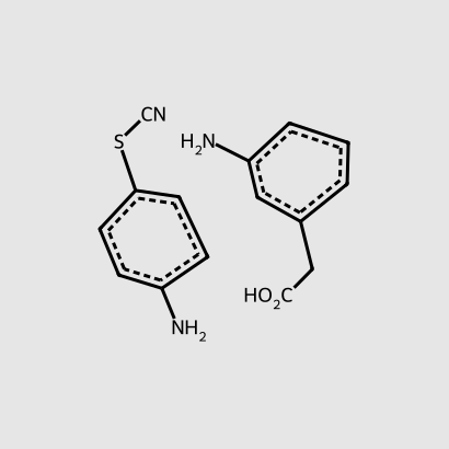 N#CSc1ccc(N)cc1.Nc1cccc(CC(=O)O)c1